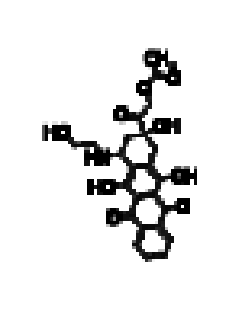 CC(=O)OCC(=O)C1(O)Cc2c(O)c3c(c(O)c2C(NCCO)C1)C(=O)c1ccccc1C3=O